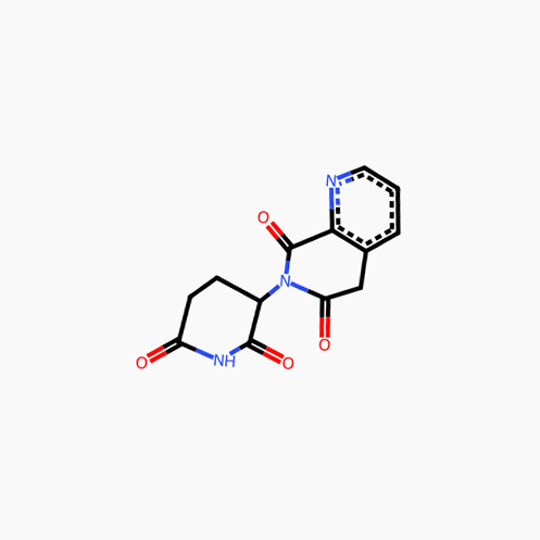 O=C1CCC(N2C(=O)Cc3cccnc3C2=O)C(=O)N1